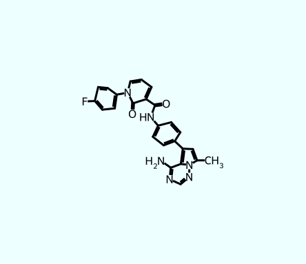 Cc1cc(-c2ccc(NC(=O)c3cccn(-c4ccc(F)cc4)c3=O)cc2)c2c(N)ncnn12